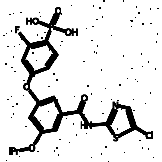 CC(C)Oc1cc(Oc2ccc(P(=O)(O)O)c(F)c2)cc(C(=O)Nc2ncc(Cl)s2)c1